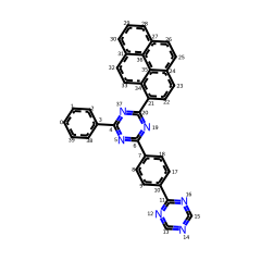 c1ccc(-c2nc(-c3ccc(-c4ncncn4)cc3)nc(-c3ccc4ccc5cccc6ccc3c4c56)n2)cc1